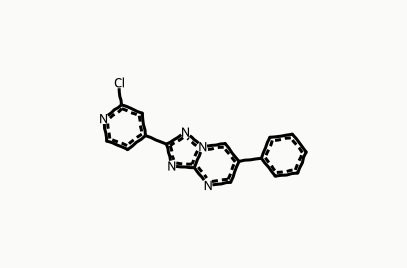 Clc1cc(-c2nc3ncc(-c4ccccc4)cn3n2)ccn1